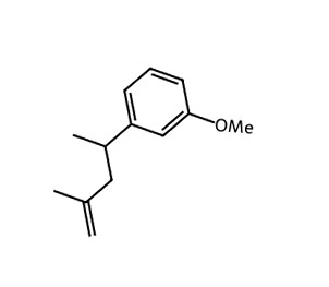 C=C(C)CC(C)c1cccc(OC)c1